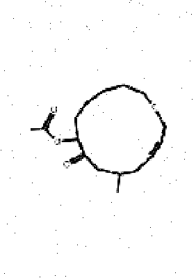 CC(=O)OC1CCCCCCCC=CCC(C)CC1=O